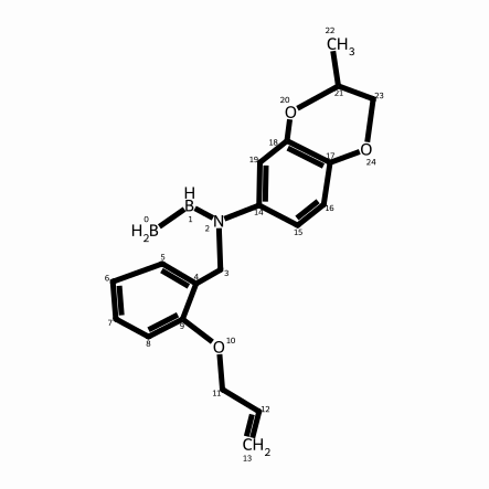 BBN(Cc1ccccc1OCC=C)c1ccc2c(c1)OC(C)CO2